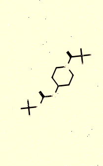 CC(C)(C)OC(=O)NC1CCN(C(=O)C(F)(F)F)CC1